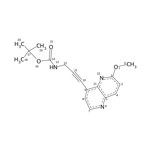 COc1ccc2nccc(C#CCNC(=O)OC(C)(C)C)c2n1